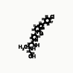 C[C@H](CC(=N)c1ccc(-n2ccc3cc(-c4ccc(Cl)cc4)sc3c2=O)cn1)NCCO